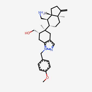 C=C1CC[C@H]2[C@H](CN)[C@@H]([C@@]3(C)Cc4cnn(Cc5ccc(OC)cc5)c4C[C@@H]3CO)CC[C@]12C